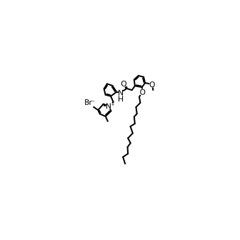 CCCCCCCCCCCCCCOc1c(CC(=O)Nc2ccccc2C[n+]2cc(C)cc(C)c2)cccc1OC.[Br-]